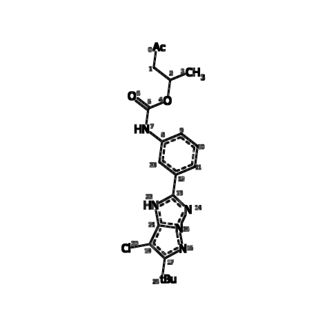 CC(=O)CC(C)OC(=O)Nc1cccc(-c2nn3nc(C(C)(C)C)c(Cl)c3[nH]2)c1